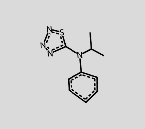 CC(C)N(c1ccccc1)c1nnns1